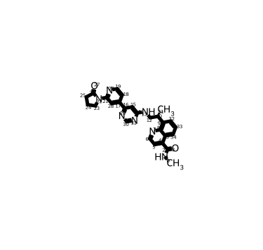 CNC(=O)c1ccnc2c([C@H](C)CNc3cc(-c4ccnc(N5CCCC5=O)c4)ncn3)cccc12